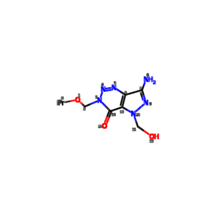 [CH2]C([CH2])OCn1nnc2c(N)nn(CO)c2c1=O